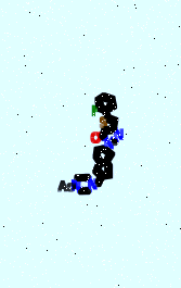 CC(=O)N1CCN(Cc2ccc3c(c2)CCC(n2cnc4cc(-c5ccccc5F)sc4c2=O)C3)CC1